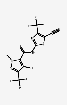 Cn1nc(C(F)(F)F)c(Cl)c1C(=O)Nc1nc(C(F)(F)F)c(C#N)s1